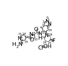 Cn1cc2cc(NC(=O)c3coc(-c4ccnc(N)c4)n3)c(N3CCCC(F)C3)cc2n1.OCl